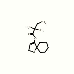 CCC(C)(C)C(=O)OC1=CCOC12CCCCC2